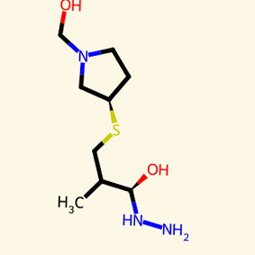 CC(CS[C@@H]1CCN(CO)C1)[C@@H](O)NN